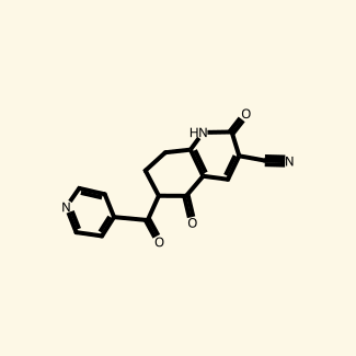 N#Cc1cc2c([nH]c1=O)CCC(C(=O)c1ccncc1)C2=O